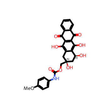 COc1ccc(NC(=O)OC[C@]2(O)Cc3c(O)c4c(c(O)c3[C@@H](O)C2)C(=O)c2ccccc2C4=O)cc1